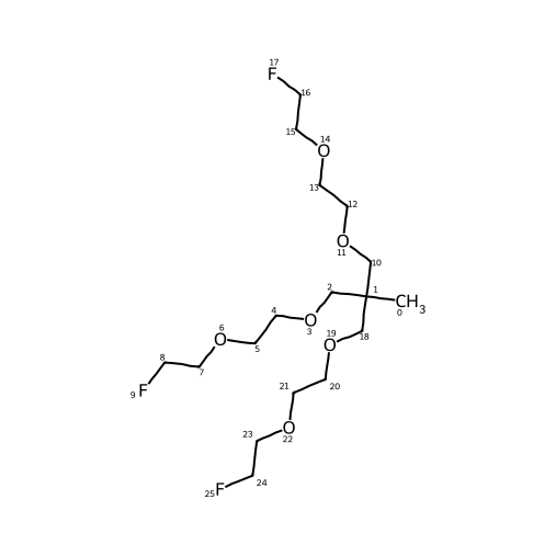 CC(COCCOCCF)(COCCOCCF)COCCOCCF